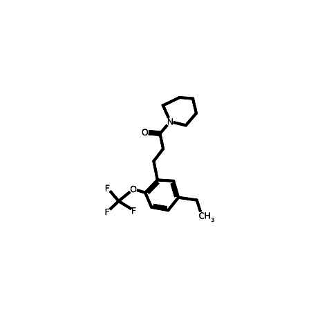 CCc1ccc(OC(F)(F)F)c(CCC(=O)N2CCCCC2)c1